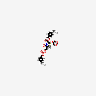 O=C(OCCC1C(=O)N2C(C(=O)OCc3ccc([N+](=O)[O-])cc3)=C(OC3COCOC3)S[C@@H]12)OCc1ccc([N+](=O)[O-])cc1